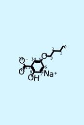 CCCCOc1ccc(O)c(C(=O)[O-])c1.[Na+]